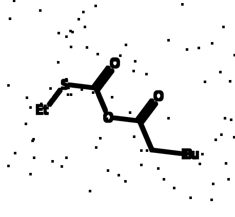 CCSC(=O)OC(=O)CC(C)CC